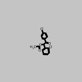 CC(=O)OC(C(=O)c1ccc(Cl)cc1)c1ccccc1Cl